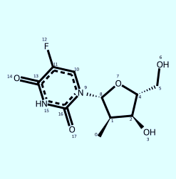 C[C@@H]1[C@H](O)[C@@H](CO)O[C@H]1n1cc(F)c(=O)[nH]c1=O